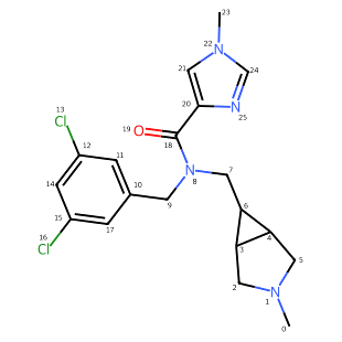 CN1CC2C(C1)C2CN(Cc1cc(Cl)cc(Cl)c1)C(=O)c1cn(C)cn1